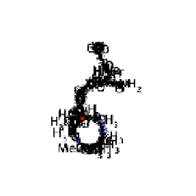 CO[C@H]1/C=C/O[C@@]2(C)Oc3c(C)c(O)c4c(=O)c(c5sc6cc(N7CCN(C(=O)OCc8ccc(NC(=O)[C@H](CCCNC(N)=O)NC(=O)[C@@H](NC(=O)CCCCCN9C(=O)C=CC9=O)C(C)C)cc8)CC7)cc(O)c6nc-5c4c3C2=O)NC(=O)/C(C)=C\C=C\[C@H](C)[C@H](O)[C@@H](C)[C@@H](O)[C@@H](C)[C@H](O)[C@@H]1C